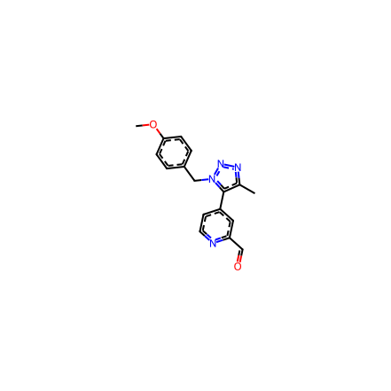 COc1ccc(Cn2nnc(C)c2-c2ccnc(C=O)c2)cc1